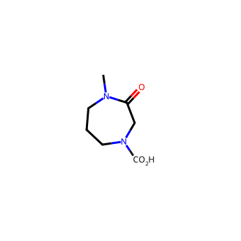 CN1CCCN(C(=O)O)CC1=O